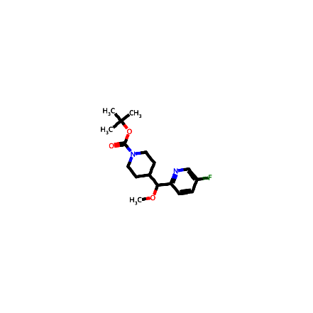 COC(c1ccc(F)cn1)C1CCN(C(=O)OC(C)(C)C)CC1